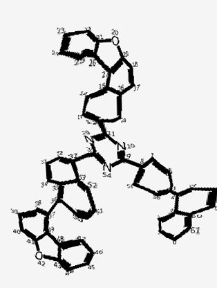 c1ccc2c(-c3ccc(-c4nc(-c5ccc6c(ccc7oc8ccccc8c76)c5)nc(-c5cccc6c(-c7cccc8oc9ccccc9c78)cccc56)n4)cc3)cccc2c1